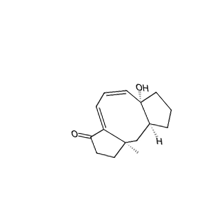 C[C@]12CCC(=O)/C1=C/C=C\[C@@]1(O)CCC[C@H]1C2